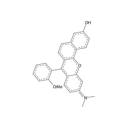 COc1ccccc1-c1c2ccc(=[N+](C)C)cc-2oc2c1ccc1cc(O)ccc12